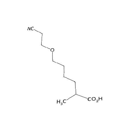 CC(CCCCOCCC#N)C(=O)O